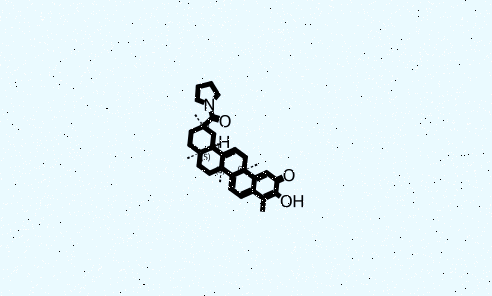 CC1=C(O)C(=O)C=C2C1=CC=C1[C@@]2(C)CC=C2[C@@H]3C[C@](C)(C(=O)N4CCCC4)CC[C@]3(C)CC[C@@]21C